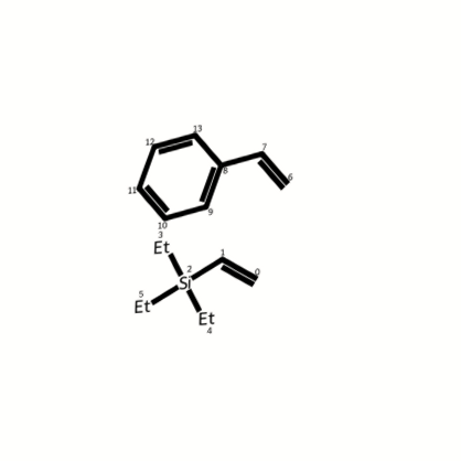 C=C[Si](CC)(CC)CC.C=Cc1ccccc1